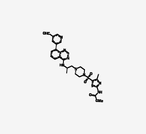 COC(=O)Nc1nc(C)c(S(=O)(=O)N2CCN(CC(C)Nc3ncnc4c(-c5cncc(C=O)c5)cccc34)CC2)s1